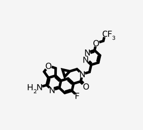 Nc1nc2cc(F)c(C(=O)N(Cc3ccc(OCC(F)(F)F)nn3)CC3CC3)cc2c2c1COC2